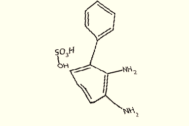 Nc1cccc(-c2ccccc2)c1N.O=S(=O)(O)O